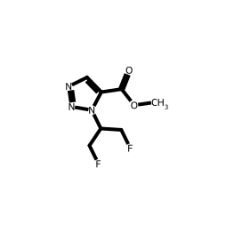 COC(=O)c1cnnn1C(CF)CF